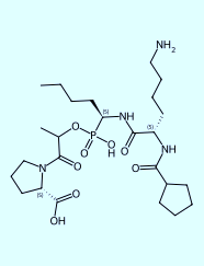 CCCC[C@@H](NC(=O)[C@H](CCCCN)NC(=O)C1CCCC1)P(=O)(O)OC(C)C(=O)N1CCC[C@H]1C(=O)O